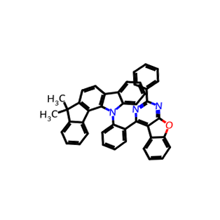 CC1(C)c2ccccc2-c2c1ccc1c3ccccc3n(-c3ccccc3-c3nc(-c4ccccc4)nc4oc5ccccc5c34)c21